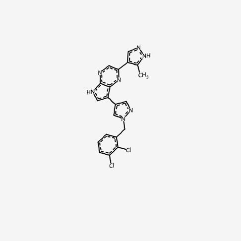 Cc1[nH]ncc1-c1cnc2[nH]cc(-c3cnn(Cc4cccc(Cl)c4Cl)c3)c2n1